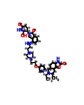 C[C@@H]1Cc2c(ccc3[nH]c(=O)oc23)[C@@H](c2ccc(OCCN3CCN(CCNc4cccc5c4CN(C4CCC(=O)NC4O)C5=O)CC3)cn2)N1CC(F)(F)F